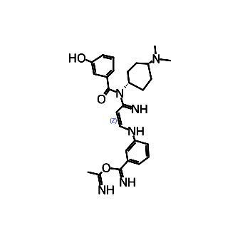 CC(=N)OC(=N)c1cccc(N/C=C\C(=N)N(C(=O)c2cccc(O)c2)[C@H]2CC[C@H](N(C)C)CC2)c1